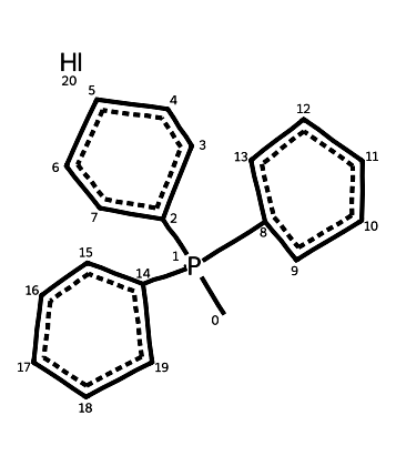 C[P](c1ccccc1)(c1ccccc1)c1ccccc1.I